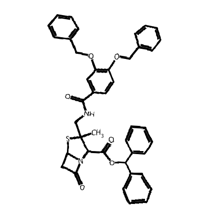 CC1(CNC(=O)c2ccc(OCc3ccccc3)c(OCc3ccccc3)c2)SC2CC(=O)N2C1C(=O)OC(c1ccccc1)c1ccccc1